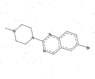 CN1CCN(c2ncc3cc(Br)ccc3n2)CC1